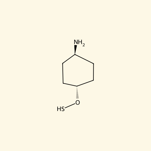 N[C@H]1CC[C@H](OS)CC1